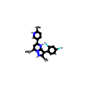 CC(=O)Oc1ccc(-c2cc(C(=O)O)n3nc(C)c(-c4ccc(F)cc4F)c3n2)cn1